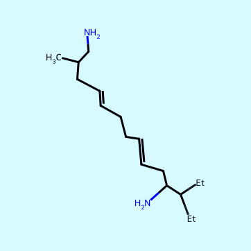 CCC(CC)C(N)CC=CCCC=CCC(C)CN